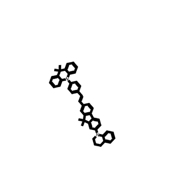 CC1(C)c2cc(/C=C/c3ccc(N4c5ccccc5C(C)(C)c5ccccc54)cc3)ccc2-c2ccc(N3CCCc4ccccc43)cc21